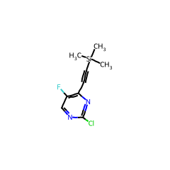 C[Si](C)(C)C#Cc1nc(Cl)ncc1F